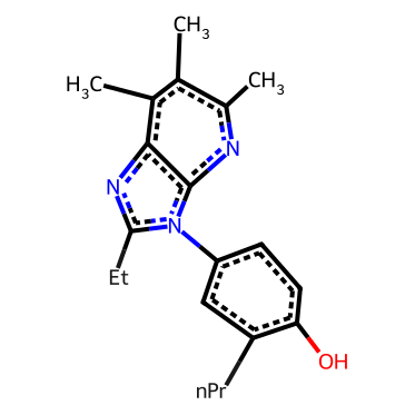 CCCc1cc(-n2c(CC)nc3c(C)c(C)c(C)nc32)ccc1O